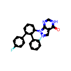 O=c1[nH]cnc2c1cnn2-c1cccc(-c2ccc(F)cc2)c1-c1ccccc1F